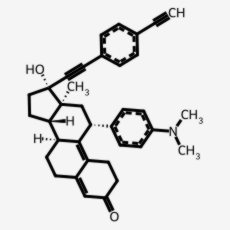 C#Cc1ccc(C#C[C@]2(O)CC[C@H]3[C@@H]4CCC5=CC(=O)CCC5=C4[C@@H](c4ccc(N(C)C)cc4)C[C@@]32C)cc1